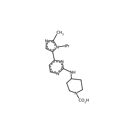 Cc1ncc(-c2ccnc(NC3CCN(C(=O)O)CC3)n2)n1C(C)C